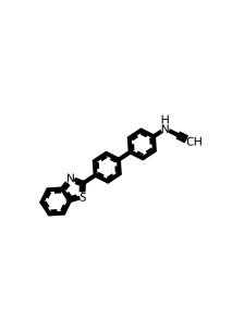 C#CNc1ccc(-c2ccc(-c3nc4ccccc4s3)cc2)cc1